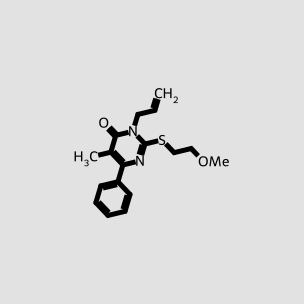 C=CCn1c(SCCOC)nc(-c2ccccc2)c(C)c1=O